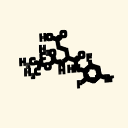 CC(C)(C)OC(=O)NC(CCC(=O)O)C(=O)Nc1c(F)cc(Br)cc1F